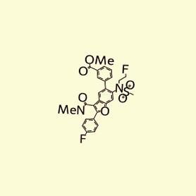 CNC(=O)c1c(-c2ccc(F)cc2)oc2cc(N(CCF)S(C)(=O)=O)c(-c3cccc(C(=O)OC)c3)cc12